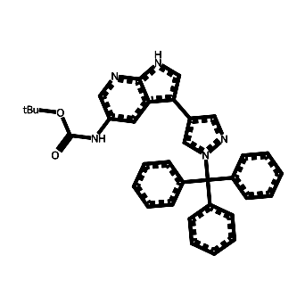 CC(C)(C)OC(=O)Nc1cnc2[nH]cc(-c3cnn(C(c4ccccc4)(c4ccccc4)c4ccccc4)c3)c2c1